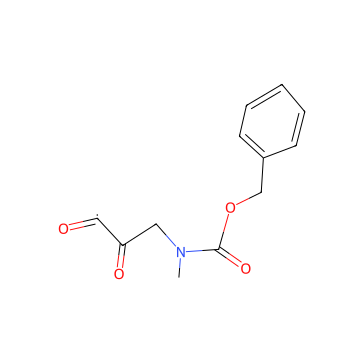 CN(CC(=O)[C]=O)C(=O)OCc1ccccc1